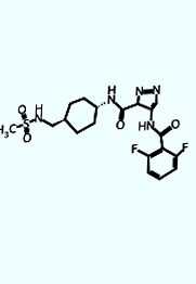 CS(=O)(=O)NC[C@H]1CC[C@H](NC(=O)C2N=NC=C2NC(=O)c2c(F)cccc2F)CC1